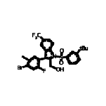 Cc1cc(-c2c(CO)n(S(=O)(=O)c3cccc(C(C)(C)C)c3)c3ccc(C(F)(F)F)cc23)c(F)cc1Br